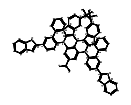 CC(C)c1cc2c3c(c1)N(c1ccc(-c4cc5ccccc5s4)cc1-c1ccccc1)c1sc4ccc(C(C)(C)C)cc4c1B3c1c(sc3ccc(C(C)(C)C)cc13)N2c1ccc(-c2cc3ccccc3s2)cc1-c1ccccc1